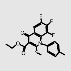 CCOC(=O)c1c(SC)n(-c2ccc(C)cc2)c2c(F)c(F)c(F)cc2c1=O